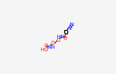 [N-]=[N+]=NCc1ccc(C(=O)NCCOCCOCCNC(=O)O)cc1